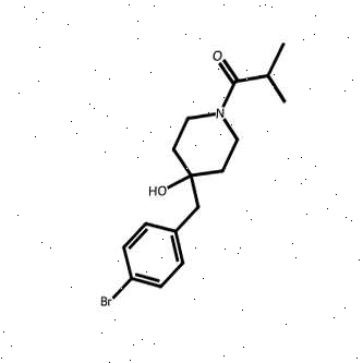 CC(C)C(=O)N1CCC(O)(Cc2ccc(Br)cc2)CC1